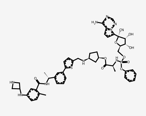 Cc1ccc(NC2CNC2)cc1C(=O)N[C@H](C)c1cccc(-c2ccc(CN[C@H]3CC[C@@H](OC(=O)[C@H](C)NP(=O)(OC[C@H]4O[C@@](C#N)(c5ccc6c(N)ncnn56)[C@H](O)[C@@H]4O)Oc4ccccc4)C3)s2)c1